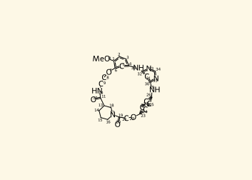 COc1ccc2cc1OCCNC(=O)C1CCCN(C1)C(=O)COc1ccc(cc1)Nc1cc(ncn1)N2